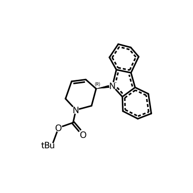 CC(C)(C)OC(=O)N1CC=C[C@@H](n2c3ccccc3c3ccccc32)C1